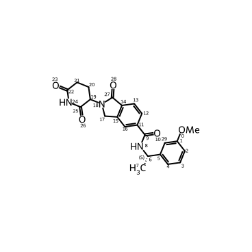 COc1cccc([C@H](C)NC(=O)c2ccc3c(c2)CN(C2CCC(=O)NC2=O)C3=O)c1